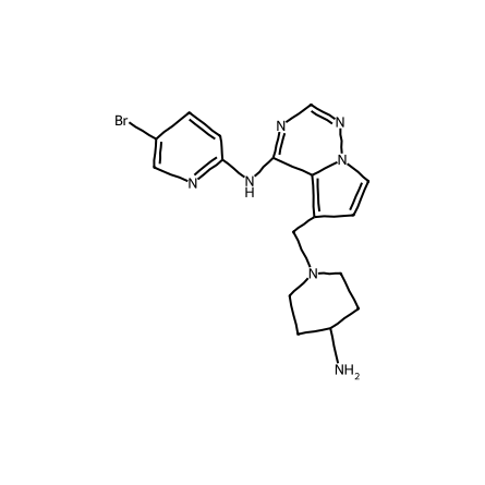 NC1CCN(Cc2ccn3ncnc(Nc4ccc(Br)cn4)c23)CC1